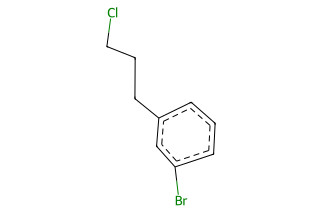 ClCCCc1cccc(Br)c1